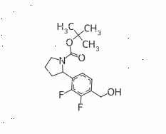 CC(C)(C)OC(=O)N1CCCC1c1ccc(CO)c(F)c1F